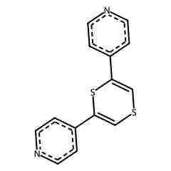 C1=C(c2ccncc2)SC(c2ccncc2)=CS1